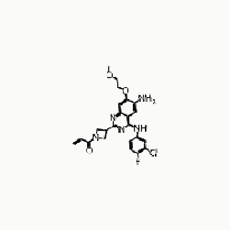 C=CC(=O)N1CC(c2nc(Nc3ccc(F)c(Cl)c3)c3cc(N)c(OCCOC)cc3n2)C1